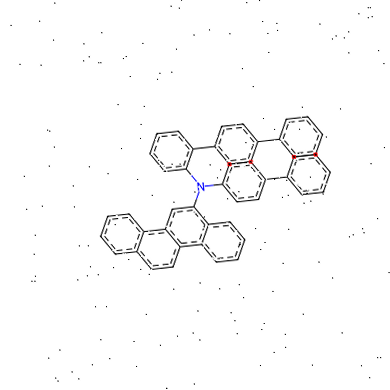 c1ccc(-c2ccc(-c3ccccc3N(c3ccc(-c4ccccc4)cc3)c3cc4c5ccccc5ccc4c4ccccc34)cc2)cc1